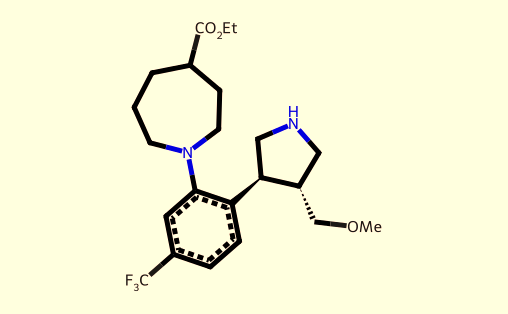 CCOC(=O)C1CCCN(c2cc(C(F)(F)F)ccc2[C@H]2CNC[C@@H]2COC)CC1